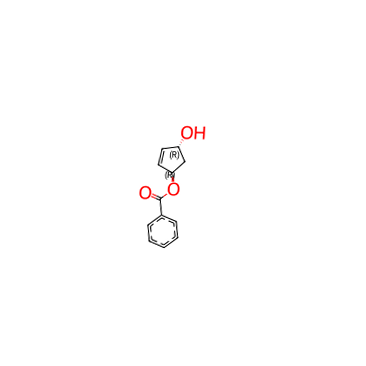 O=C(O[C@H]1C=C[C@H](O)C1)c1ccccc1